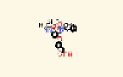 COC(=O)N(Cc1cc(NC(C)=O)ccc1Oc1cccc(CC(=O)O)c1)[C@@H](C)Cc1ccccc1